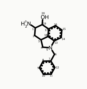 NC1CC2CN(Cc3ccccc3)c3cccc(c32)C1O